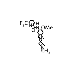 COc1cc2nn(C3CC4C3CN4C)cc2cc1NC(=O)c1cccc(C(F)(F)F)n1